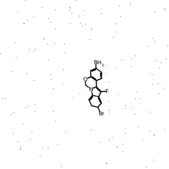 Bc1ccc2c(c1)OCn1c-2c(F)c2c1=CCC(Br)C=2